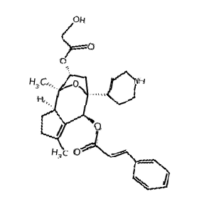 CC1=C2[C@@H](CC1)[C@]1(C)O[C@@](C3CCNCC3)(C[C@H]1OC(=O)CO)[C@H]2OC(=O)/C=C/c1ccccc1